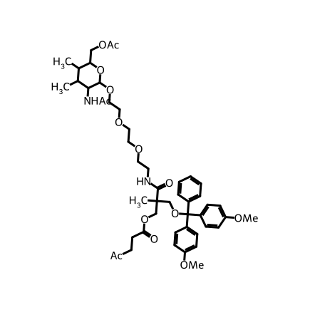 COc1ccc(C(OCC(C)(COC(=O)CCC(C)=O)C(=O)NCCOCCOCCOC2OC(COC(C)=O)C(C)C(C)C2NC(C)=O)(c2ccccc2)c2ccc(OC)cc2)cc1